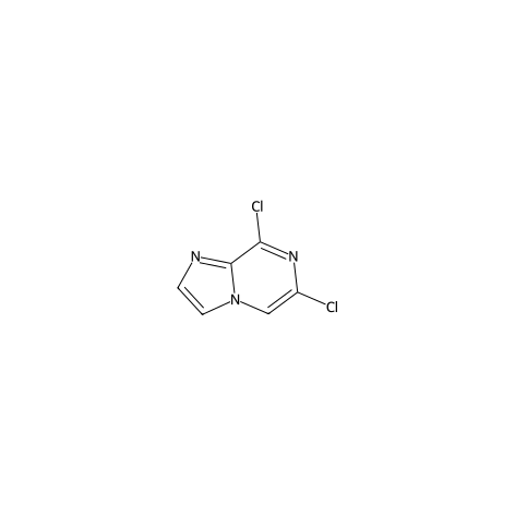 Clc1cn2ccnc2c(Cl)n1